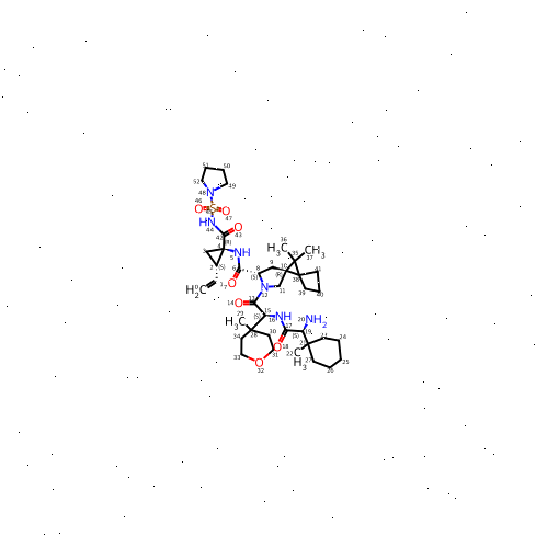 C=C[C@@H]1C[C@]1(NC(=O)[C@@H]1C[C@@]2(CN1C(=O)[C@@H](NC(=O)[C@@H](N)C1(C)CCCCC1)C1(C)CCOCC1)C(C)(C)C21CCC1)C(=O)NS(=O)(=O)N1CCCC1